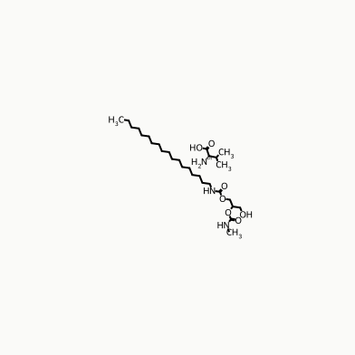 CC(C)[C@H](N)C(=O)O.CCCCCCCCCCCCCCCCCCNC(=O)OCC(CO)OC(=O)NC